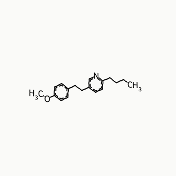 CCCCc1ccc(CCc2ccc(OC)cc2)cn1